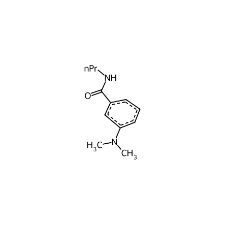 CCCNC(=O)c1cccc(N(C)C)c1